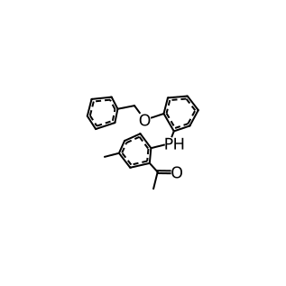 CC(=O)c1cc(C)ccc1Pc1ccccc1OCc1ccccc1